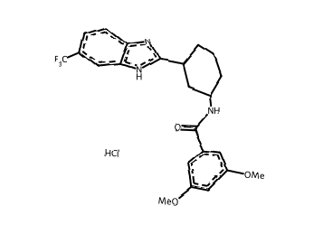 COc1cc(OC)cc(C(=O)NC2CCCC(c3nc4ccc(C(F)(F)F)cc4[nH]3)C2)c1.Cl